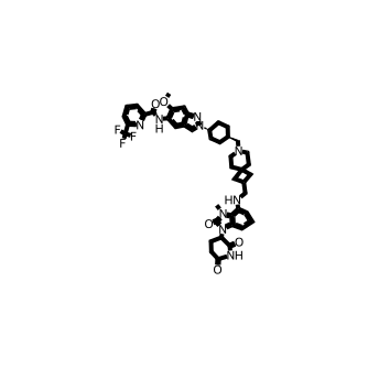 COc1cc2nn([C@H]3CC[C@H](CN4CCC5(CC4)CC(CNc4cccc6c4n(C)c(=O)n6C4CCC(=O)NC4=O)C5)CC3)cc2cc1NC(=O)c1cccc(C(F)(F)F)n1